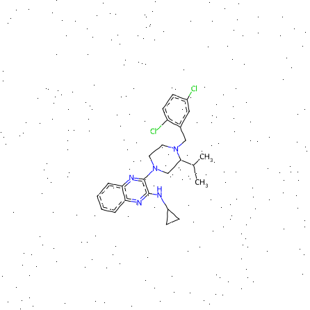 CC(C)C1CN(c2nc3ccccc3nc2NC2CC2)CCN1Cc1cc(Cl)ccc1Cl